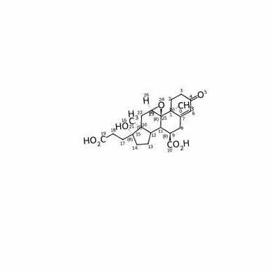 C[C@]12CCC(=O)C=C1C[C@@H](C(=O)O)C1C3CC[C@@](O)(CCC(=O)O)[C@@]3(C)C[C@H]3O[C@@]132